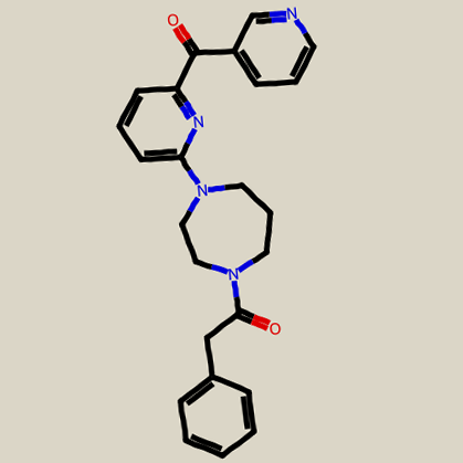 O=C(c1cccnc1)c1cccc(N2CCCN(C(=O)Cc3ccccc3)CC2)n1